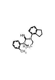 CCN(C(=N)N(C)c1ccccc1C)c1cccc2c1CCC2